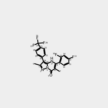 Cc1nn2c(=O)c(C)c(-c3ccc(F)cc3F)[nH]c2c1-c1ccc(C(F)(F)F)cc1